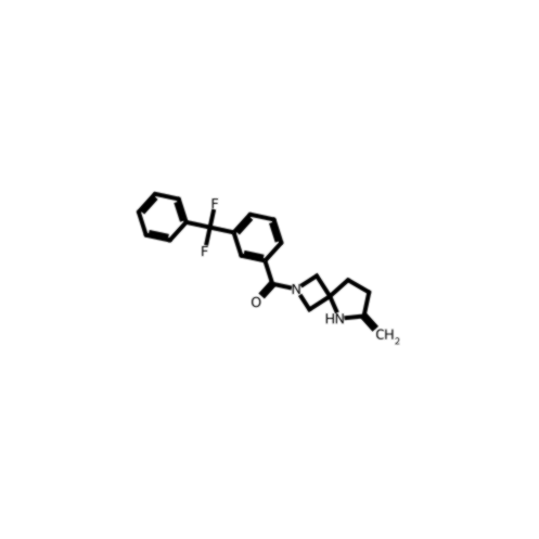 C=C1CCC2(CN(C(=O)c3cccc(C(F)(F)c4ccccc4)c3)C2)N1